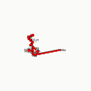 COCCOCCOCCOCCOCCOCCOCCOCCOCCOCCOCCN(CCC(=O)N[C@H](C(=O)N[C@@H](C)C(=O)Nc1ccc(COC(=O)N(CCOC23CC4(C)CC(C)(CC(Cn5ncc(-c6ccc(N7CCc8cccc(C(=O)Nc9nc%10ccccc%10s9)c8C7)nc6C(=O)O)c5C)(C4)C2)C3)CCC(O)CO)c(CC[C@@H]2O[C@H](C(=O)O)[C@@H](O)[C@H](O)[C@H]2O)c1)C(C)C)C(=O)CN1C(=O)C=CC1=O